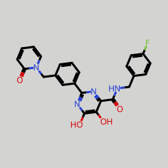 O=C(NCc1ccc(F)cc1)c1nc(-c2cccc(Cn3ccccc3=O)c2)nc(O)c1O